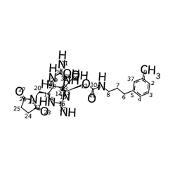 Cc1cccc(CCCNC(=O)O[C@H]2CN3C(=N)N[C@@H](CN4C(=O)CCC4=O)[C@@H]4NC(=N)N[C@@]43C2(O)O)c1